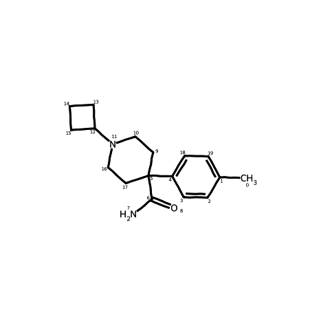 Cc1ccc(C2(C(N)=O)CCN(C3CCC3)CC2)cc1